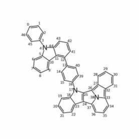 c1ccc(-n2c3ccccc3c3c(-c4ccc(-n5c6ccccc6c6c5c5c7ccccc7c7cccc6n75)cc4)cccc32)cc1